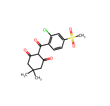 CC1(C)CC(=O)C(C(=O)c2ccc(S(C)(=O)=O)cc2Cl)C(=O)C1